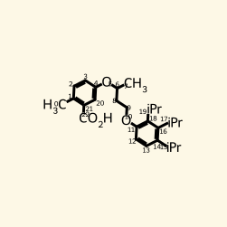 Cc1ccc(OC(C)CCOc2ccc(C(C)C)c(C(C)C)c2C(C)C)cc1C(=O)O